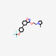 Cc1cccn1CCOc1noc2ccc(-c3ccc(OC(F)(F)F)cc3)cc12